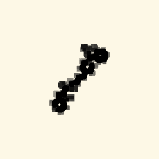 COc1ccccc1C(=O)N1CCC(CCCCNC(=O)c2cc3cnccc3[nH]2)CC1